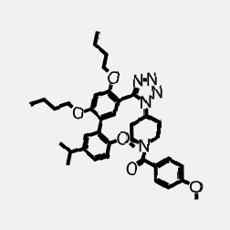 CCCCOc1cc(OCCCC)c(-c2nnnn2C2CCN(C(=O)c3ccc(OC)cc3)CC2)cc1-c1cc(C(C)C)ccc1OC